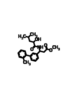 COC(=O)CC(NC(=O)C(O)CC(C)C)c1cccc(-c2ccccc2C)c1